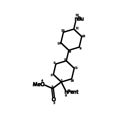 CCCCCC1(C(=O)OC)CCC(C2CCC(CCCC)CC2)CC1